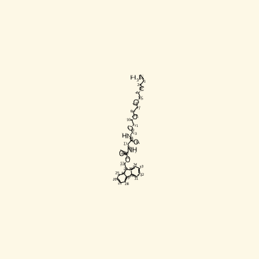 NCCOCCOCCOCCOCNC(=O)CNC(=O)OCC1c2ccccc2-c2ccccc21